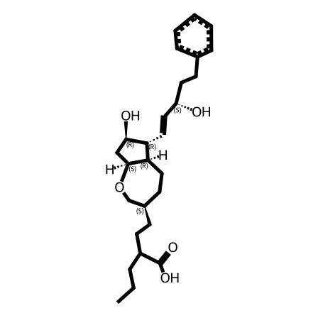 CCCC(CC[C@@H]1CC[C@@H]2[C@@H](C=C[C@@H](O)CCc3ccccc3)[C@H](O)C[C@@H]2OC1)C(=O)O